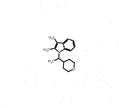 Cc1c(C)n(C(C)C2CCOCC2)c2ccccc12